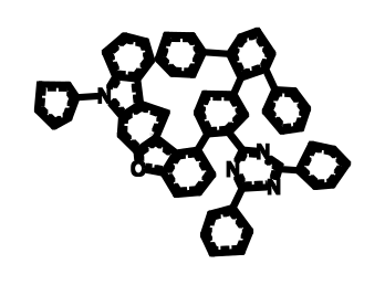 c1ccc(-c2nc(-c3ccccc3)nc(-c3cc(-c4c(-c5ccccc5)cccc4-c4ccccc4)ccc3-c3cccc4oc5cc6c(cc5c34)c3ccccc3n6-c3ccccc3)n2)cc1